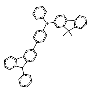 CC1(C)c2ccccc2-c2ccc(N(c3ccccc3)c3ccc(-c4ccc5c(c4)-c4ccccc4C5c4ccccc4)cc3)cc21